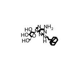 Nc1nc(NCCC23CC4CC(CC(C4)C2)C3)nc2c1ncn2[C@@H]1O[C@H](CO)[C@@H](O)[C@H]1O